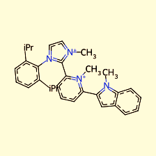 CC(C)c1cccc(C(C)C)c1-n1cc[n+](C)c1-c1cccc(-c2cc3ccccc3n2C)[n+]1C